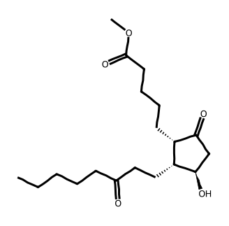 CCCCCC(=O)CC[C@H]1[C@H](O)CC(=O)[C@H]1CCCCC(=O)OC